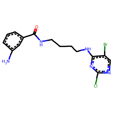 Nc1cccc(C(=O)NCCCCNc2nc(Cl)ncc2Br)c1